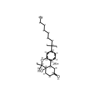 CC(C)(CCCCCCBr)c1ccc2c(c1)OC(C)(C)[C@@]1(O)CCC(=O)C[C@H]21